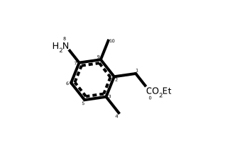 CCOC(=O)Cc1c(C)ccc(N)c1C